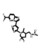 CC1C(CN[S+](C)[O-])CC(F)(F)CN1c1cc(-c2cnc3ccc(C(F)F)nn23)ncn1